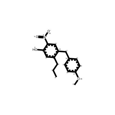 CCCc1cc(O)c([N+](=O)[O-])cc1Cc1ccc(OC)cc1